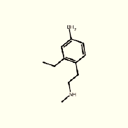 Bc1ccc(CCNC)c(CC)c1